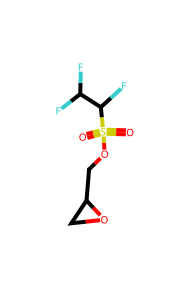 O=S(=O)(OCC1CO1)C(F)C(F)F